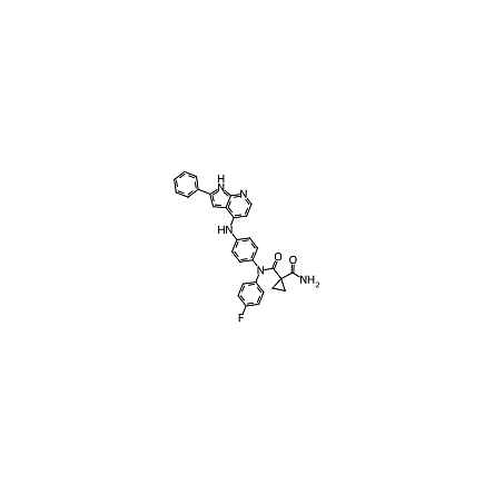 NC(=O)C1(C(=O)N(c2ccc(F)cc2)c2ccc(Nc3ccnc4[nH]c(-c5ccccc5)cc34)cc2)CC1